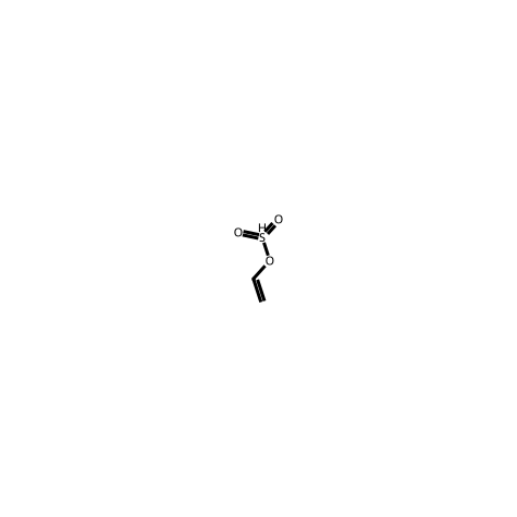 C=CO[SH](=O)=O